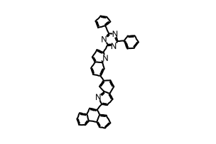 c1ccc(-c2nc(-c3ccccc3)nc(-c3ccc4ccc(-c5ccc6ccc(-c7cc8ccccc8c8ccccc78)nc6c5)cc4n3)n2)cc1